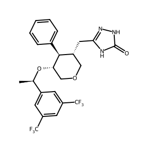 C[C@@H](O[C@H]1COC[C@@H](Cc2n[nH]c(=O)[nH]2)[C@@H]1c1ccccc1)c1cc(C(F)(F)F)cc(C(F)(F)F)c1